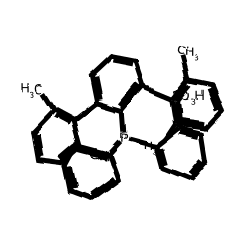 Cc1cccc(C)c1-c1cccc(-c2c(C)cccc2C)c1P(c1ccccc1)c1ccccc1S(=O)(=O)O